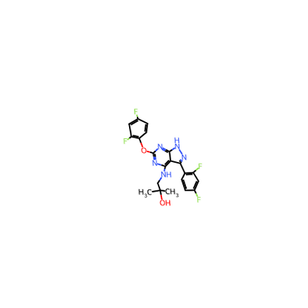 CC(C)(O)CNc1nc(Oc2ccc(F)cc2F)nc2[nH]nc(-c3ccc(F)cc3F)c12